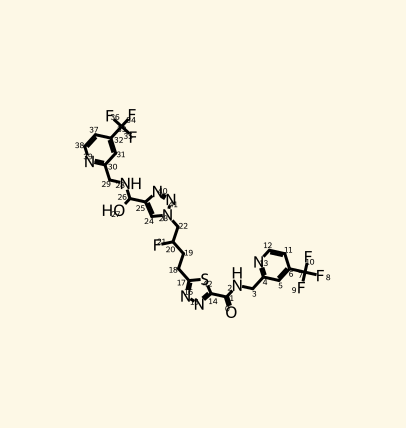 O=C(NCc1cc(C(F)(F)F)ccn1)c1nnc(CCC(F)Cn2cc(C(O)NCc3cc(C(F)(F)F)ccn3)nn2)s1